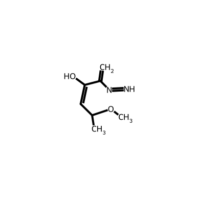 C=C(N=N)/C(O)=C\C(C)OC